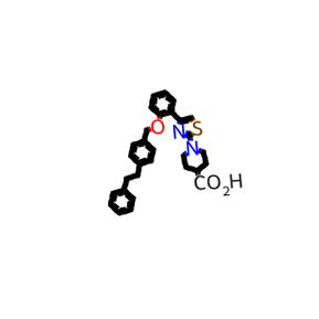 O=C(O)C1CCN(c2nc(-c3ccccc3OCc3ccc(CCc4ccccc4)cc3)cs2)CC1